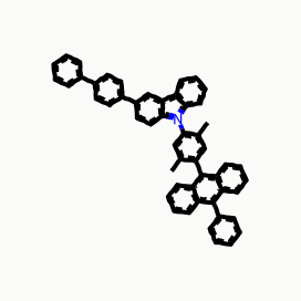 Cc1cc(-n2c3ccccc3c3cc(-c4ccc(-c5ccccc5)cc4)ccc32)c(C)cc1-c1c2ccccc2c(-c2ccccc2)c2ccccc12